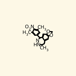 Cc1cc(C2=NNC(C)Cc3cc4c(cc32)OCO4)cc(C)c1[N+](=O)[O-]